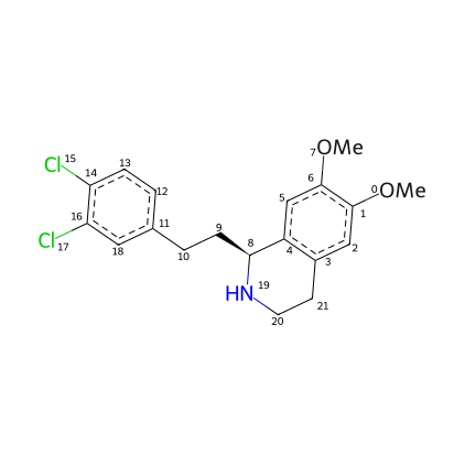 COc1cc2c(cc1OC)[C@H](CCc1ccc(Cl)c(Cl)c1)NCC2